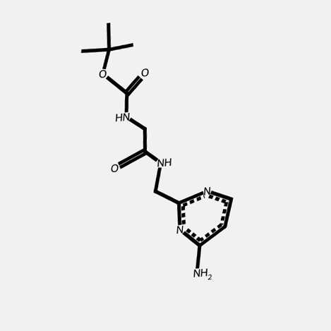 CC(C)(C)OC(=O)NCC(=O)NCc1nccc(N)n1